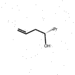 C=CC[C@@H](O)C(C)C